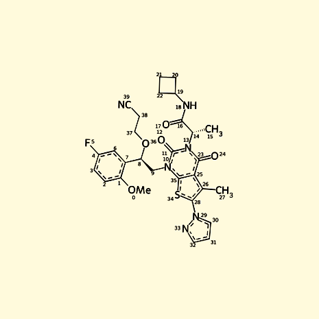 COc1ccc(F)cc1[C@H](Cn1c(=O)n([C@@H](C)C(=O)NC2CCC2)c(=O)c2c(C)c(-n3cccn3)sc21)OCCC#N